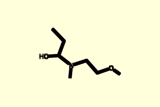 CCC(O)N(C)CCOC